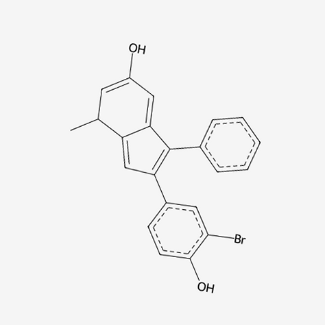 CC1C=C(O)C=C2C1=CC(c1ccc(O)c(Br)c1)=C2c1ccccc1